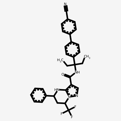 CCC(CC)(NC(=O)c1cnn2c1NC(c1ccccc1)CC2C(F)(F)F)c1ccc(-c2ccc(C#N)cc2)cc1